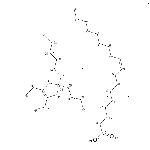 CCCCCCCC/C=C\CCCCCCCC(=O)[O-].CCCCCC[N+](CCCC)(CCCC)CCCC